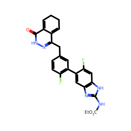 CCOC(=O)Nc1nc2cc(-c3cc(Cc4n[nH]c(=O)c5c4=CCCC=5)ccc3F)c(F)cc2[nH]1